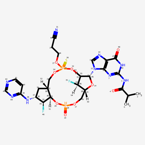 CC(C)C(=O)Nc1nc2c(ncn2[C@@H]2O[C@@H]3CO[PH](=O)O[C@@H]4[C@@H](COP(=S)(OCCC#N)O[C@@H]2[C@@H]3F)C[C@@H](Nc2ccncn2)[C@@H]4F)c(=O)[nH]1